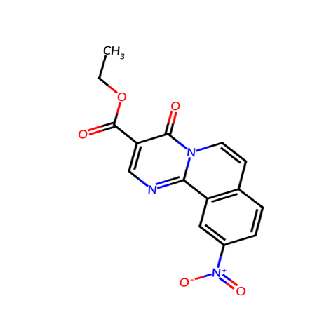 CCOC(=O)c1cnc2c3cc([N+](=O)[O-])ccc3ccn2c1=O